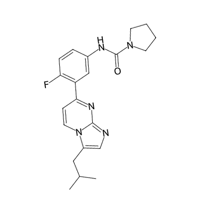 CC(C)Cc1cnc2nc(-c3cc(NC(=O)N4CCCC4)ccc3F)ccn12